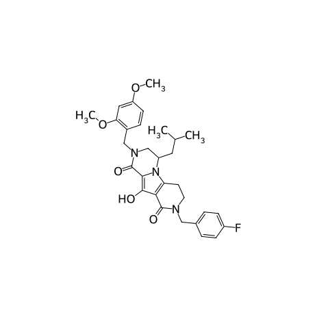 COc1ccc(CN2CC(CC(C)C)n3c4c(c(O)c3C2=O)C(=O)N(Cc2ccc(F)cc2)CC4)c(OC)c1